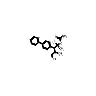 CC(CO)C(c1ccc(-c2ccccc2)cc1)C(C)(C)OC(N)=O